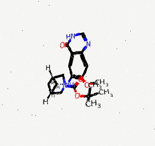 COc1cc2nc[nH]c(=O)c2cc1N[C@H]1[C@@H]2C[C@H]1CN(C(=O)OC(C)(C)C)C2